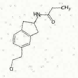 CCC(=O)NC1Cc2ccc(CCCl)cc2C1